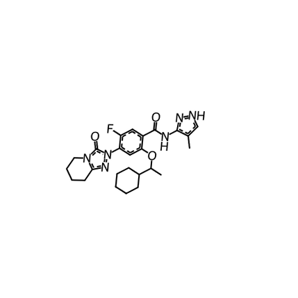 Cc1c[nH]nc1NC(=O)c1cc(F)c(-n2nc3n(c2=O)CCCC3)cc1OC(C)C1CCCCC1